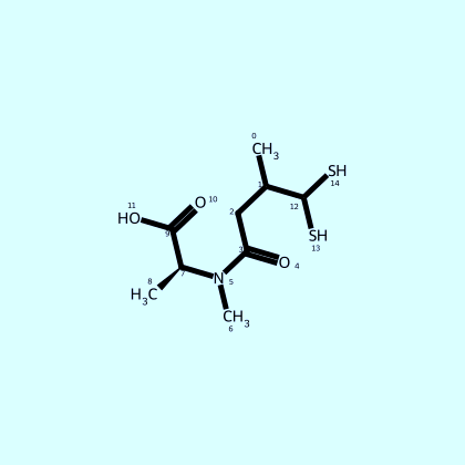 CC(CC(=O)N(C)[C@@H](C)C(=O)O)C(S)S